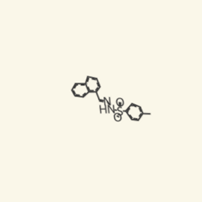 Cc1ccc(S(=O)(=O)NN=Cc2cccc3ccccc23)cc1